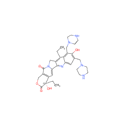 CCc1c2c(nc3cc(CN4CCNCC4)c(O)c(CN4CCNCC4)c13)-c1cc3c(c(=O)n1C2)COC(=O)[C@]3(O)CC